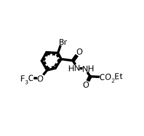 CCOC(=O)C(=O)NNC(=O)c1cc(OC(F)(F)F)ccc1Br